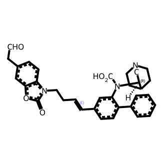 O=CCc1ccc2c(c1)oc(=O)n2CC/C=C/c1ccc(-c2ccccc2)c(N(C(=O)O)[C@H]2CN3CCC2CC3)c1